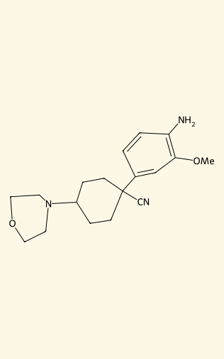 COc1cc(C2(C#N)CCC(N3CCOCC3)CC2)ccc1N